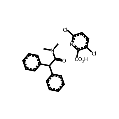 CN(C)C(=O)C(c1ccccc1)c1ccccc1.O=C(O)c1nc(Cl)ccc1Cl